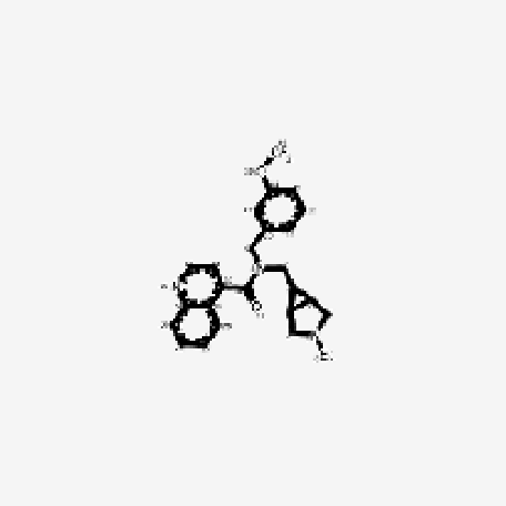 CCN1CC2C(C1)C2CN(Cc1cccc(OC(F)(F)F)c1)C(=O)c1ccnc2ccccc12